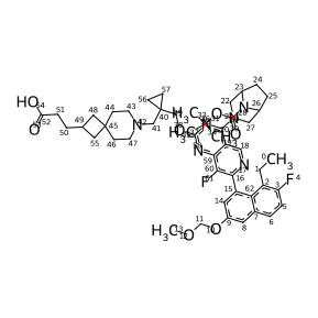 CCc1c(F)ccc2cc(OCOC)cc(-c3ncc4c(N5CC6CCC(C5)N6C(=O)OC(C)(C)C)nc(OCC5(CN6CCC7(CC6)CC(CCC(=O)O)C7)CC5)nc4c3F)c12